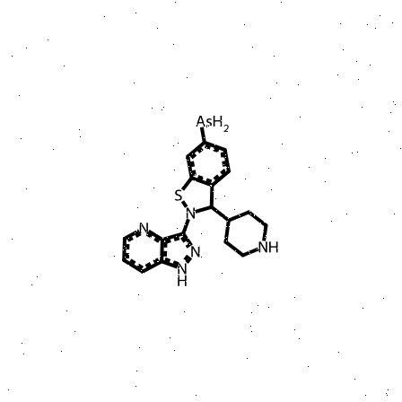 [AsH2]c1ccc2c(c1)SN(c1n[nH]c3cccnc13)C2C1CCNCC1